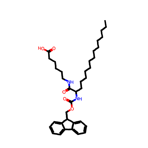 CCCCCCCCCCCCCCC(NC(=O)OCC1c2ccccc2-c2ccccc21)C(=O)NCCCCCC(=O)O